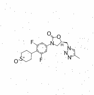 Cc1cn(C[C@H]2CN(c3cc(F)c(C4CC[S+]([O-])CC4)c(F)c3)C(=O)O2)nn1